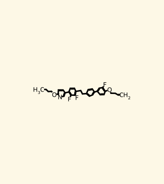 C=CCCOc1ccc(-c2ccc(CCc3ccc(-c4ccc(OCCCC)nc4)c(F)c3F)cc2)cc1F